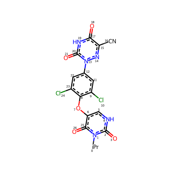 CC(C)n1c(=O)[nH]cc(Oc2c(Cl)cc(-n3nc(C#N)c(=O)[nH]c3=O)cc2Cl)c1=O